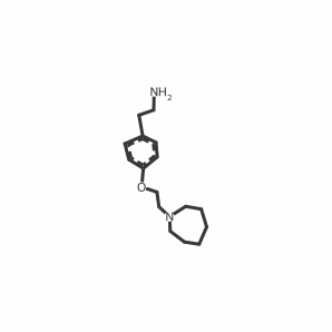 NCCc1ccc(OCCN2CCCCCC2)cc1